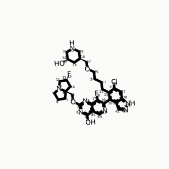 Oc1nc(OC[C@@]23CCCN2C[C@H](F)C3)nc2c(F)c(-c3c(CCCCOC[C@@H]4CNC[C@@H](O)C4)c(Cl)cc4[nH]ncc34)ncc12